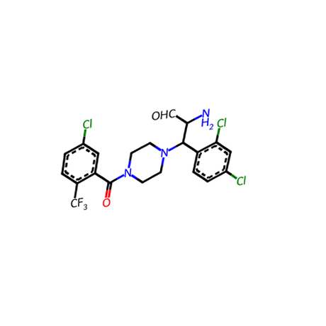 NC(C=O)C(c1ccc(Cl)cc1Cl)N1CCN(C(=O)c2cc(Cl)ccc2C(F)(F)F)CC1